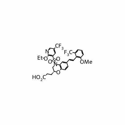 CCOc1ncc(C(F)(F)F)cc1S(=O)(=O)N1C[C@H](CCC(=O)O)Oc2ccc(/C=C/c3c(OC)cccc3C(F)(F)F)cc21